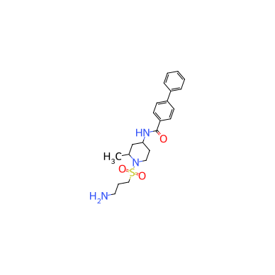 CC1CC(NC(=O)c2ccc(-c3ccccc3)cc2)CCN1S(=O)(=O)CCCN